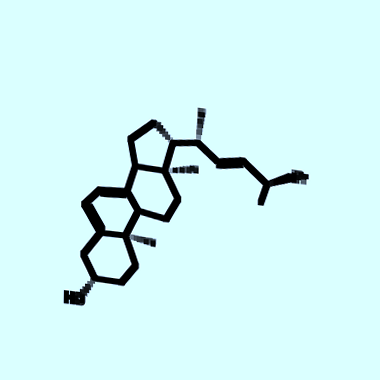 CC(C)[C@@H](C)/C=C/[C@@H](C)[C@H]1CCC2C3=CC=C4C[C@@H](O)CC[C@]4(C)C3CC[C@@]21C